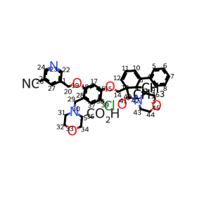 CC1(C)C(c2ccccc2)=CC=CC1(COc1cc(OCc2cncc(C#N)c2)c(CN2CCOC[C@H]2C(=O)O)cc1Cl)C(=O)N1CCOCC1